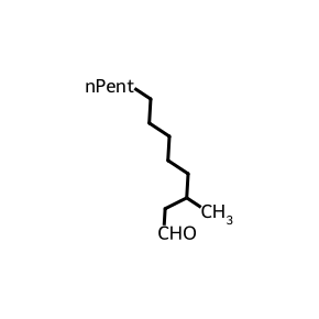 CCCCCCCCCCC(C)CC=O